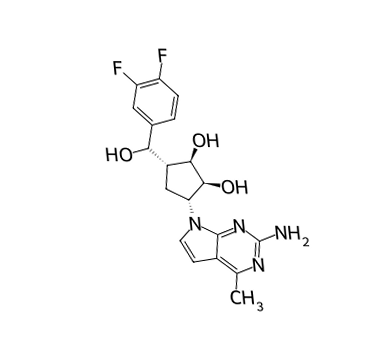 Cc1nc(N)nc2c1ccn2[C@@H]1C[C@H](C(O)c2ccc(F)c(F)c2)[C@@H](O)[C@H]1O